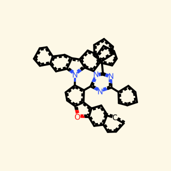 c1ccc(-c2nc(-c3ccccc3)nc(-c3c(-n4c5cc6ccccc6cc5c5cc6ccccc6cc54)ccc4oc5cc6ccccc6cc5c34)n2)cc1